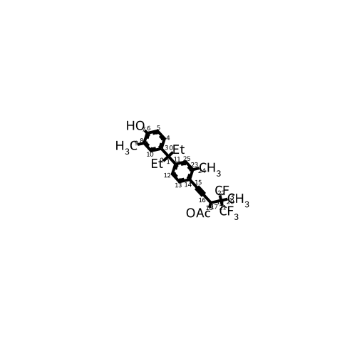 CCC(CC)(c1ccc(O)c(C)c1)c1ccc(C#CC(OC(C)=O)C(C)(C(F)(F)F)C(F)(F)F)c(C)c1